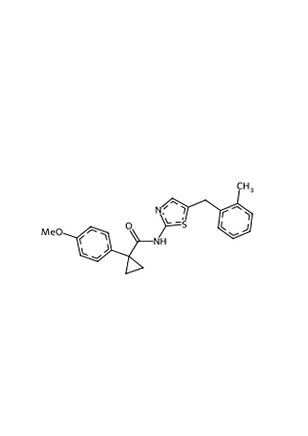 COc1ccc(C2(C(=O)Nc3ncc(Cc4ccccc4C)s3)CC2)cc1